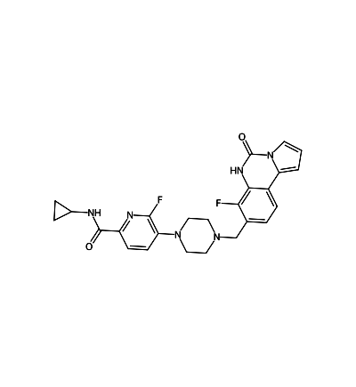 O=C(NC1CC1)c1ccc(N2CCN(Cc3ccc4c([nH]c(=O)n5cccc45)c3F)CC2)c(F)n1